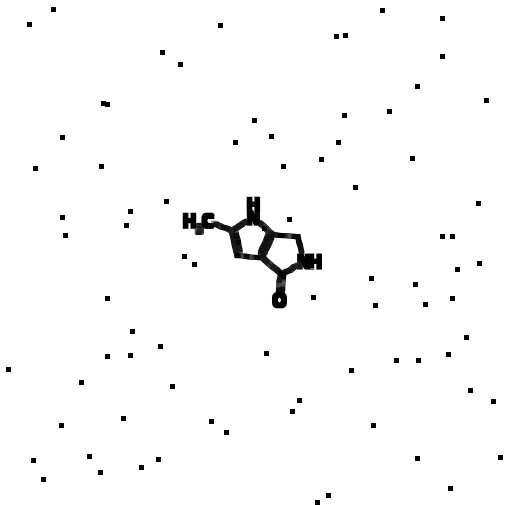 Cc1cc2c([nH]1)CNC2=O